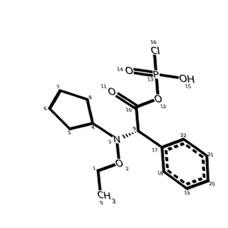 CCON(C1CCCC1)[C@H](C(=O)OP(=O)(O)Cl)c1ccccc1